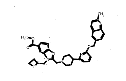 COC(=O)c1ccc2nc(CN3CCC(c4cccc(OCc5ccc6nc(C)ccc6c5)n4)CC3)n(C[C@@H]3CCO3)c2c1